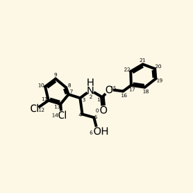 O=C(NC(CCO)c1cccc(Cl)c1Cl)OCc1ccccc1